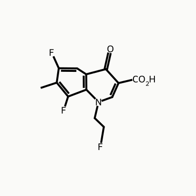 Cc1c(F)cc2c(=O)c(C(=O)O)cn(CCF)c2c1F